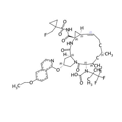 CCOc1ccc2c(O[C@@H]3C[C@H]4C(=O)N[C@]5(C(=O)NS(=O)(=O)C6(CF)CC6)C[C@H]5/C=C\CC[C@H](C)C[C@@H](C)[C@H](N(C(=O)O)C(C)(C)C(F)(F)F)C(=O)N4C3)nccc2c1